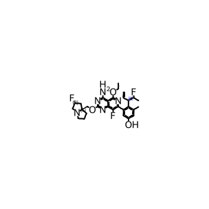 C=C/C(=C(/C)F)c1c(C)cc(O)cc1-c1nc(OCC)c2c(N)nc(OC[C@@]34CCCN3C[C@H](F)C4)nc2c1F